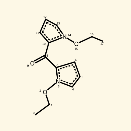 CCOn1cccc1C(=O)c1cccn1OCC